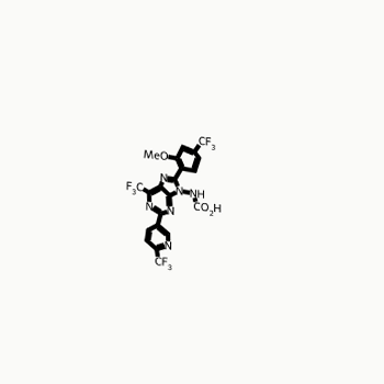 COc1cc(C(F)(F)F)ccc1-c1nc2c(C(F)(F)F)nc(-c3ccc(C(F)(F)F)nc3)nc2n1NC(=O)O